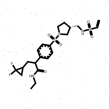 C=CS(=O)(=O)NC[C@H]1CCN(S(=O)(=O)c2ccc(C(CC3CC3(F)F)C(=O)NCC)cc2)C1